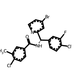 Cc1cc(C(=O)N[C@@H](c2ccc(Cl)c(F)c2)c2cc(Br)ccn2)ccc1Cl